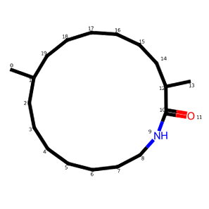 CC1CCCCCCCNC(=O)C(C)CCCCCC1